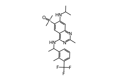 Cc1nc(NC(C)c2cccc(C(F)(F)F)c2C)c2cc(P(C)(C)=O)c(NC(C)C)cc2n1